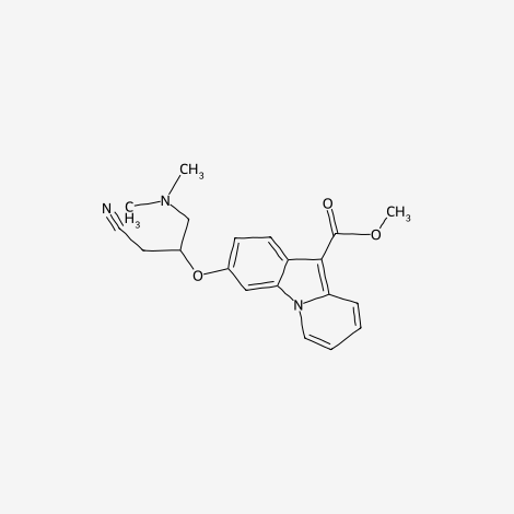 COC(=O)c1c2ccc(OC(CC#N)CN(C)C)cc2n2ccccc12